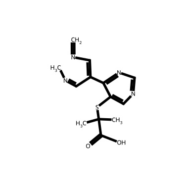 C=N/C=C(\C=N/C)c1ncncc1SC(C)(C)C(=O)O